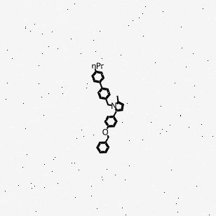 CCCc1ccc(-c2ccc(Cn3c(C)ccc3-c3ccc(OCc4ccccc4)cc3)cc2)cc1